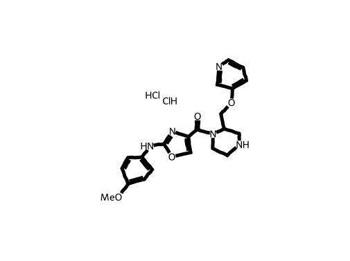 COc1ccc(Nc2nc(C(=O)N3CCNCC3COc3cccnc3)co2)cc1.Cl.Cl